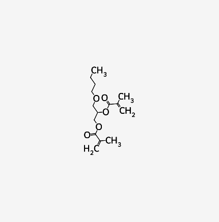 C=C(C)C(=O)OCC(COCCCC)OC(=O)C(=C)C